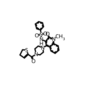 Cn1c(=O)c(NS(=O)(=O)c2ccccc2)c(N2CCN(C(=O)C3=CCCS3)CC2)c2ccccc21